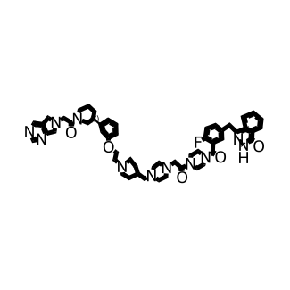 O=C(CN1CCN(CC2CCN(CCOc3cccc([C@@H]4CCCN(C(=O)CN5Cc6cncnc6C5)C4)c3)CC2)CC1)N1CCN(C(=O)c2cc(Cc3n[nH]c(=O)c4ccccc34)ccc2F)CC1